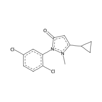 Cn1c(C2CC2)cc(=O)n1-c1cc(Cl)ccc1Cl